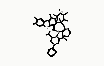 C=C1c2c(cc(C)c3c2oc2cc(C)c(C)cc23)C(C)(C(C)C(C)[C@H](C)C(C)C)CC2=C(CCC=C2)N1C1C(C(C)C)=CC(c2ccccc2)CC1C(C)C